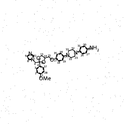 COc1ccc(C2(Cn3ccnc3)OCC(COc3ccc(N4CCN(c5ccc(N)cc5)CC4)cc3)O2)cc1